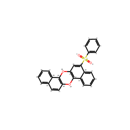 O=S(=O)(c1ccccc1)c1cc2c(c3ccccc13)Oc1ccc3ccccc3c1O2